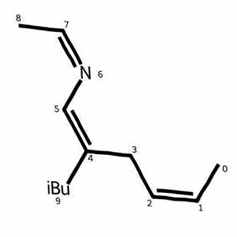 C/C=C\C/C(=C\N=C/C)C(C)CC